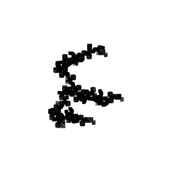 CCc1c(C)c(-c2cc3c(c(=O)[nH]2)COC(=O)[C@@]3(CC)OC(=O)CNC(=O)CC[C@H](NC(C)=O)C(=O)N[C@@H](CCC(=O)NCC(=O)O[C@]2(CC)C(=O)OCc3c2cc2n(c3=O)-c3c-2nc2ccc(OC(=O)NCCC(N)CC)cc2c3CC)C(=O)NCC(=O)O[C@]2(CC)C(=O)OCc3c2cc2n(c3=O)-c3c-2nc2ccc(OC(N)=O)cc2c3CC)nc2ccc(OC(N)=O)cc12